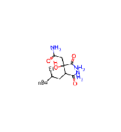 CCCCC(CC)CC(C(N)=O)C(O)(CC(N)=O)C(N)=O